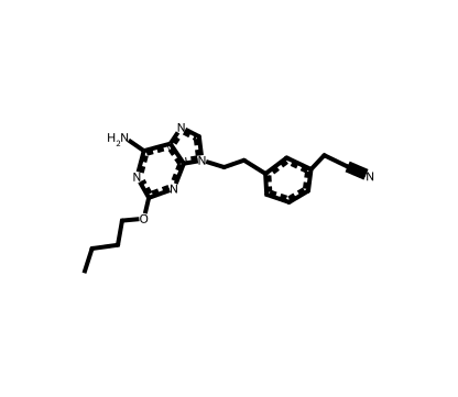 CCCCOc1nc(N)c2ncn(CCc3cccc(CC#N)c3)c2n1